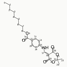 CCCCCCCCCOC(=O)c1ccc(NC=C2C(=O)OC(C)(C)OC2=O)cc1